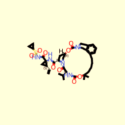 C=C[C@@H]1C[C@]1(NC(=O)[C@@H]1C[C@@H]2CN1C(=O)[C@H](C(C)C)NC(=O)OC(C)(C)CCCCc1cccc3c1CN(C3)C(=O)O2)C(=O)NS(=O)(=O)C1CC1